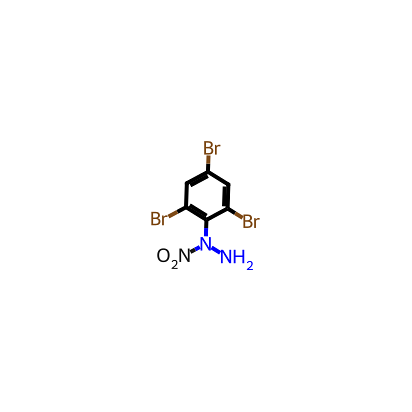 NN(c1c(Br)cc(Br)cc1Br)[N+](=O)[O-]